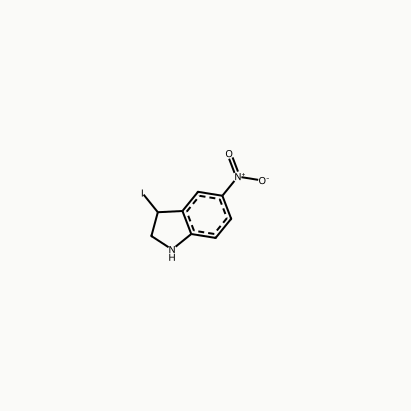 O=[N+]([O-])c1ccc2c(c1)C(I)CN2